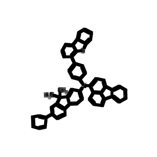 CC1(C)c2cc(-c3ccccc3)ccc2-c2ccc(N(c3ccc(-c4cccc5c4sc4ccccc45)cc3)c3ccc4c5c(cccc35)-c3ccccc3-4)cc21